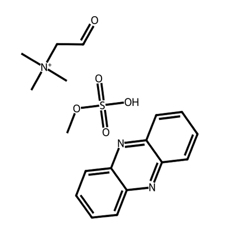 COS(=O)(=O)O.C[N+](C)(C)CC=O.c1ccc2nc3ccccc3nc2c1